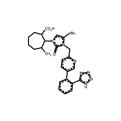 CCCCc1cn(C2C(C)CCCCC2C(=O)O)c(=O)n1Cc1ccc(-c2ccccc2-c2nnn[nH]2)cn1